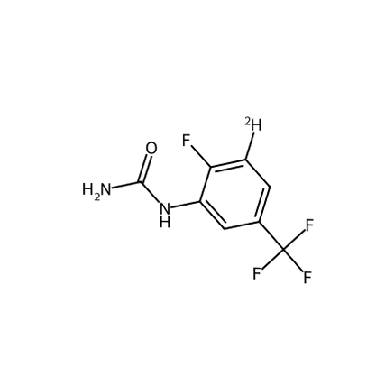 [2H]c1cc(C(F)(F)F)cc(NC(N)=O)c1F